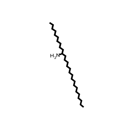 CCCCCCCCCCCCCCCCCC(N)CCCCCCCCCC